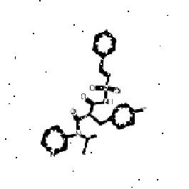 CC(C)N(C(=O)C(Cc1ccc(F)cc1)C(=O)NS(=O)(=O)/C=C/c1ccccc1)c1cccnc1